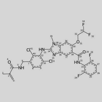 C=C(C)C(=O)NCc1ccc(Cl)c(Nc2nc3cc(C(=O)Nc4c(F)cccc4F)c(OCC(F)F)cc3n2C)c1Cl